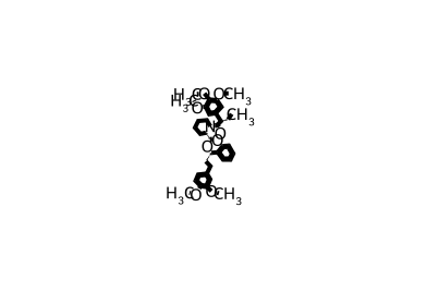 CC[C@H](C(=O)N1CCCC[C@H]1C(=O)O[C@@H](CCc1ccc(OC)c(OC)c1)c1ccccc1)c1cc(OC)c(OC)c(OC)c1